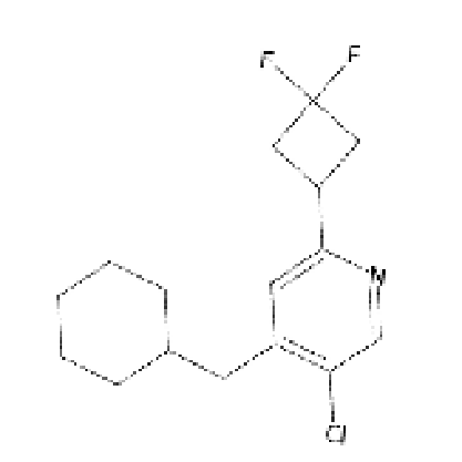 FC1(F)CC(c2cc(CC3CCCCC3)c(Cl)cn2)C1